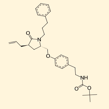 C=CC[C@@H]1C[C@@H](COc2ccc(CCNC(=O)OC(C)(C)C)cc2)N(CCCc2ccccc2)C1=O